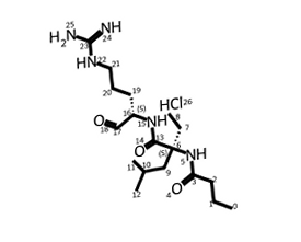 CCCC(=O)N[C@@](CC)(CC(C)C)C(=O)N[C@H](C=O)CCCNC(=N)N.Cl